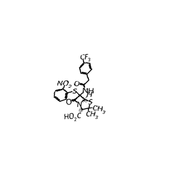 CC1(C)S[C@H]2N(C(=O)C2(NC(=O)Cc2ccc(C(F)(F)F)cc2)Sc2ccccc2[N+](=O)[O-])[C@H]1C(=O)O